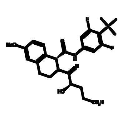 COc1ccc2c(c1)CCN(C(=O)[C@@H](O)CCC(=O)O)[C@H]2C(=O)Nc1cc(F)c(S(C)(C)C)c(F)c1